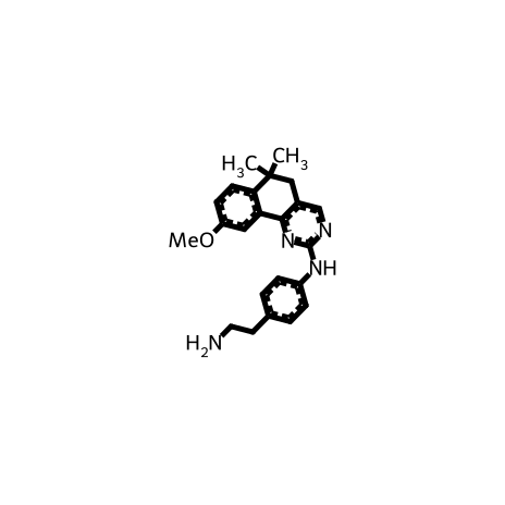 COc1ccc2c(c1)-c1nc(Nc3ccc(CCN)cc3)ncc1CC2(C)C